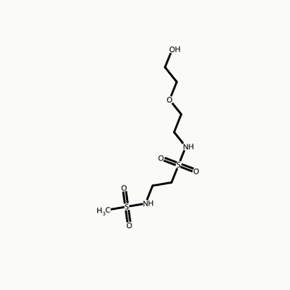 CS(=O)(=O)NCCS(=O)(=O)NCCOCCO